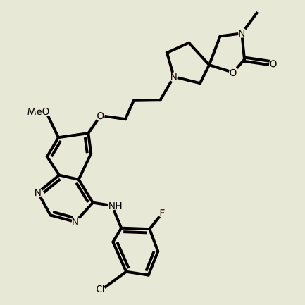 COc1cc2ncnc(Nc3cc(Cl)ccc3F)c2cc1OCCCN1CCC2(C1)CN(C)C(=O)O2